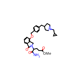 COC(=O)CCC(C(N)=O)N1Cc2c(OCc3ccc(CC4CCN(CC5CC5)CC4)cc3)cccc2C1=O